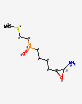 CSSCC[PH](=O)CCCCC1OC1N